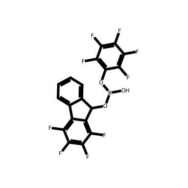 OB(Oc1c(F)c(F)c(F)c(F)c1F)OC1c2ccccc2-c2c(F)c(F)c(F)c(F)c21